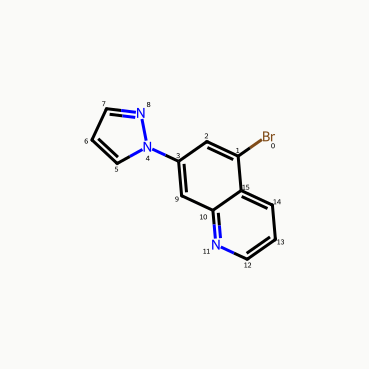 Brc1cc(-n2cccn2)cc2ncccc12